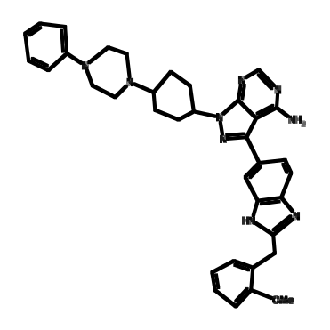 COc1ccccc1Cc1nc2ccc(-c3nn(C4CCC(N5CCN(c6ccccc6)CC5)CC4)c4ncnc(N)c34)cc2[nH]1